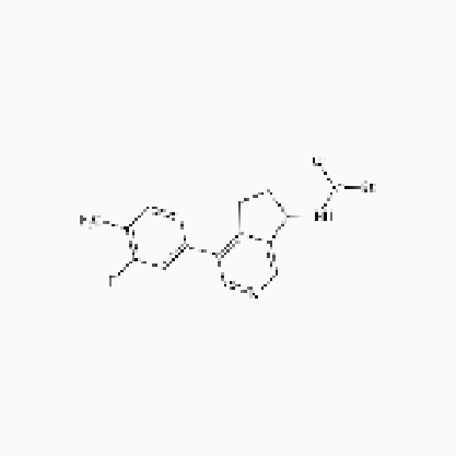 CC[S+]([O-])NC1CCc2c(-c3ccc(C(F)(F)F)c(F)c3)cncc21